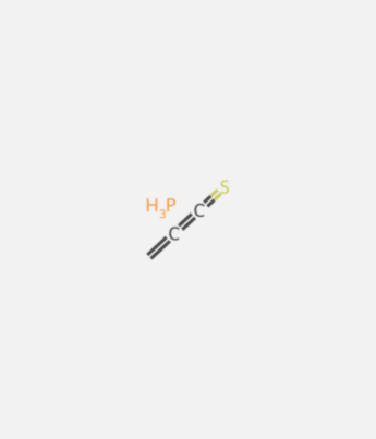 C=C=C=S.P